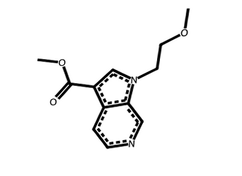 COCCn1cc(C(=O)OC)c2ccncc21